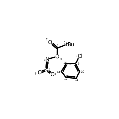 CC(C)(C)C(=O)ON=S(=O)=O.Clc1ccccc1